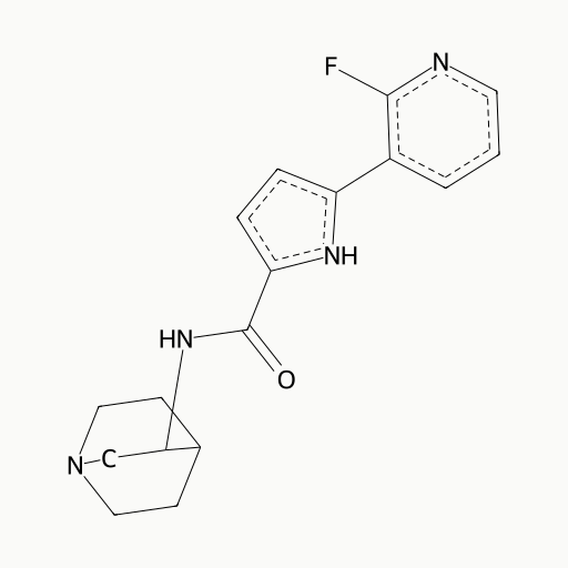 O=C(NC1CN2CCC1CC2)c1ccc(-c2cccnc2F)[nH]1